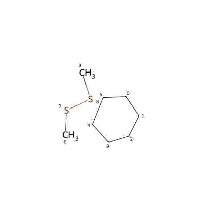 C1CCCCC1.CSSC